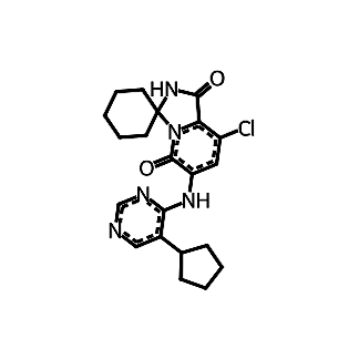 O=C1NC2(CCCCC2)n2c1c(Cl)cc(Nc1ncncc1C1CCCC1)c2=O